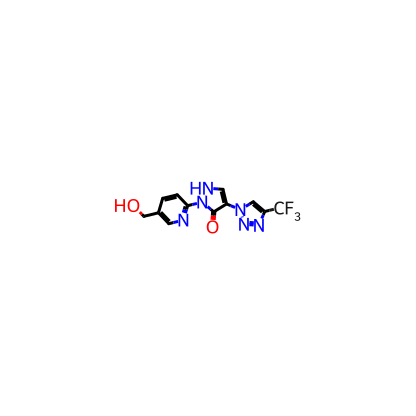 O=c1c(-n2cc(C(F)(F)F)nn2)c[nH]n1-c1ccc(CO)cn1